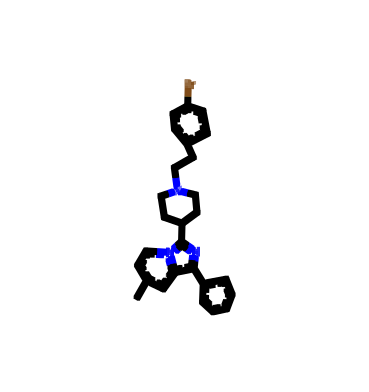 Cc1ccn2c(C3CCN(CCc4ccc(Br)cc4)CC3)nc(-c3ccccc3)c2c1